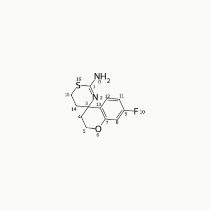 NC1=NC2(CCOc3cc(F)ccc32)CCS1